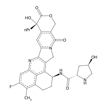 CCC[C@@]1(O)C(=O)OCc2c1cc1n(c2=O)Cc2c-1nc1cc(F)c(C)c3c1c2[C@@H](NC(=O)[C@@H]1C[C@@H](O)CN1)CC3